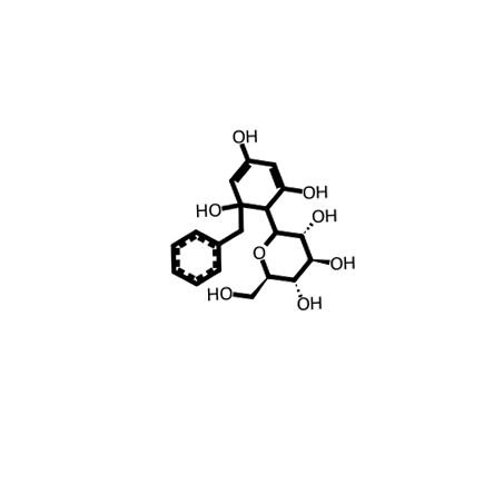 OC[C@H]1OC(C2C(O)=CC(O)=CC2(O)Cc2ccccc2)[C@H](O)[C@@H](O)[C@@H]1O